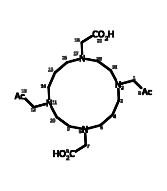 CC(=O)CN1CCCN(CC(=O)O)CCN(CC(C)=O)CCCN(CC(=O)O)CC1